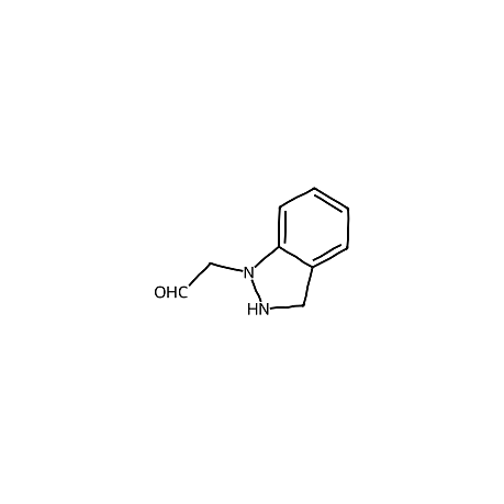 O=CCN1NCc2ccccc21